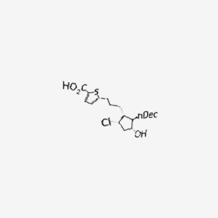 CCCCCCCCCC[C@@H]1[C@@H](CCCc2ccc(C(=O)O)s2)[C@@H](Cl)C[C@H]1O